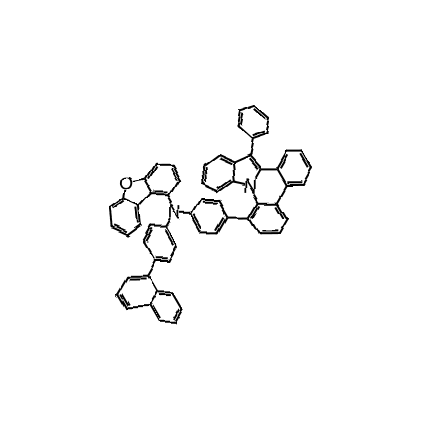 c1ccc(-c2c3ccccc3n3c4c(-c5ccc(N(c6ccc(-c7cccc8ccccc78)cc6)c6cccc7oc8ccccc8c67)cc5)cccc4c4ccccc4c23)cc1